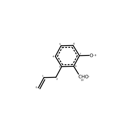 C=CCc1cccc([O])c1[C]=O